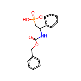 O=C(NC(CP(=O)(O)O)c1ccccc1)OCc1ccccc1